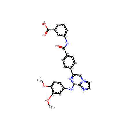 COc1ccc(Nc2nc(-c3ccc(C(=O)Nc4cccc(C(=O)O)c4)cc3)cn3ccnc23)cc1OC